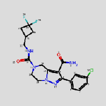 NC(=O)c1c(-c2cccc(Cl)c2)nn2c1CN(C(=O)NCC1CC(F)(F)C1)CC2